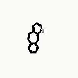 C1=CNC2=Cc3ccccc3C=CC2=C1